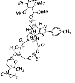 CC[C@H]1CCC[C@H](O[C@H]2CC[C@H](N(C)C)C(C)O2)[C@@H](C)C(=O)C2=C[C@H]3[C@@H]4C[C@H](OC(OC)C(OC)C(OC)C(OC)C(C)C)C[C@H]4c4nc(-c5ccc(C)cc5)sc4[C@H]3[C@@H]2CC(=O)O1